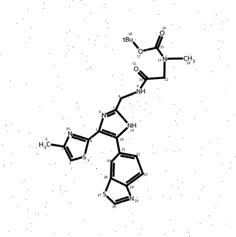 Cc1csc(-c2nc(CNC(=O)CN(C)C(=O)OC(C)(C)C)[nH]c2-c2ccc3ncsc3c2)n1